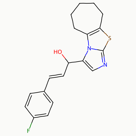 OC(C=Cc1ccc(F)cc1)c1cnc2sc3c(n12)CCCCC3